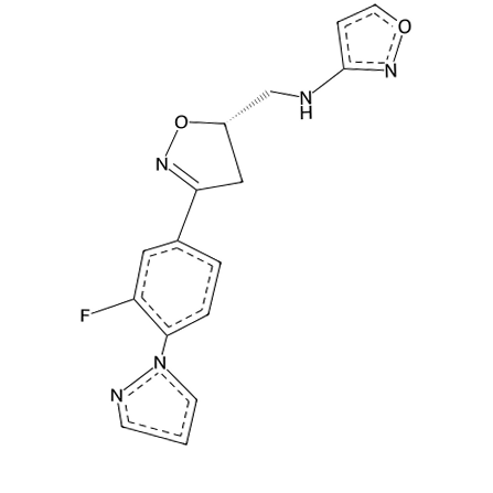 Fc1cc(C2=NO[C@H](CNc3ccon3)C2)ccc1-n1cccn1